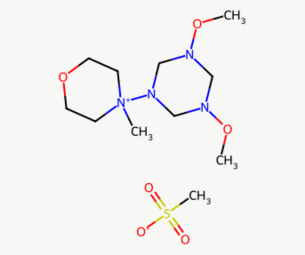 CON1CN(OC)CN([N+]2(C)CCOCC2)C1.CS(=O)(=O)[O-]